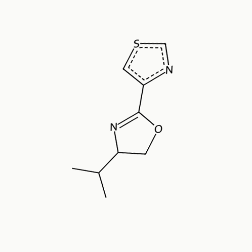 CC(C)C1COC(c2cscn2)=N1